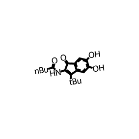 CCCCC(=O)NC1=C(C(C)(C)C)c2cc(O)c(O)cc2C1=O